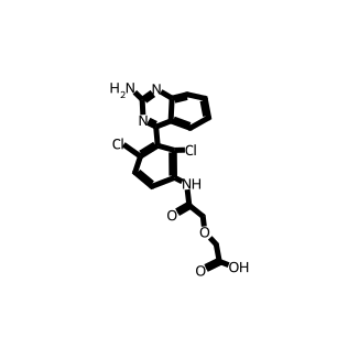 Nc1nc(-c2c(Cl)ccc(NC(=O)COCC(=O)O)c2Cl)c2ccccc2n1